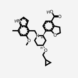 COc1cc(C)c2[nH]ccc2c1CN1CC[C@@H](OCC2CC2)C[C@@H]1c1ccc(C(=O)O)c2c1OCC2